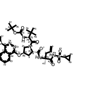 C=CC[C@](C)(NC(=O)[C@@H]1C[C@@H](Oc2nnc(OCC)c3ccccc23)CN1C(=O)[C@@H](NC(=O)OC(C)(C)C)C(C)(C)C)C(=O)NS(=O)(=O)C1CC1